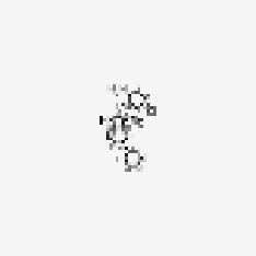 Nc1ccc(Cl)c(C(=O)c2c[nH]c3ncc(-c4cccnc4)cc23)c1F